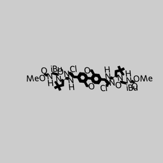 CC[C@H](C)[C@H](NC(=O)OC)C(=O)N1CC(C)(C)C[C@H]1c1nc(Cl)c(-c2cc3c4c(c2)OCc2cc(-c5[nH]c([C@@H]6CC(C)(C)CN6C(=O)[C@@H](NC(=O)OC)[C@@H](C)CC)nc5Cl)cc(c2-4)OC3)[nH]1